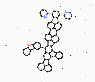 c1ccc(-c2ccc(-c3ccccn3)c3c2-c2ccc4c5ccc6c7c(-c8ccc9oc%10ccccc%10c9c8)c8cc9c%10cccc%11cccc(c%11%10)c9c9c%10ccccc%10c(c7c7ccc(c%10ccc-3c2c4%10)c5c67)c89)nc1